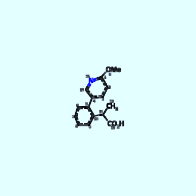 COc1ccc(-c2ccccc2C(C)C(=O)O)cn1